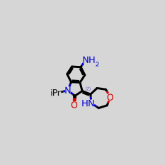 CC(C)N1C(=O)/C(=C2/CCOCCN2)c2cc(N)ccc21